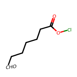 O=CCCCCCC(=O)OCl